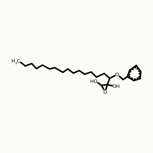 CCCCCCCCCCCCCCCC(OCc1ccccc1)C1(O)OC1O